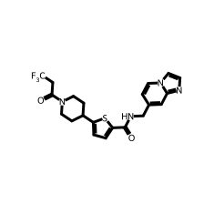 O=C(NCc1ccn2ccnc2c1)c1ccc(C2CCN(C(=O)CC(F)(F)F)CC2)s1